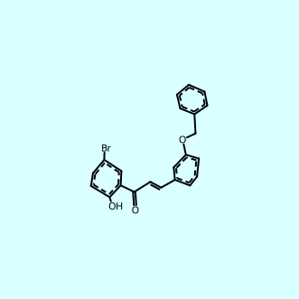 O=C(C=Cc1cccc(OCc2ccccc2)c1)c1cc(Br)ccc1O